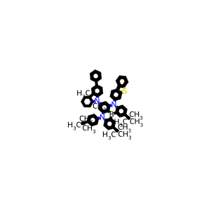 CC(C)(C)c1ccc(N2c3ccc(C(C)(C)C)cc3B3c4cc(C(C)(C)C)ccc4N(c4ccc5c(c4)sc4ccccc45)c4cc(N5c6ccc(-c7ccccc7)cc6C6(C)CCCCC56C)cc2c43)cc1